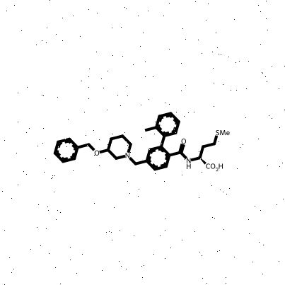 CSCC[C@H](NC(=O)c1ccc(CN2CCCC(OCc3ccccc3)C2)cc1-c1ccccc1C)C(=O)O